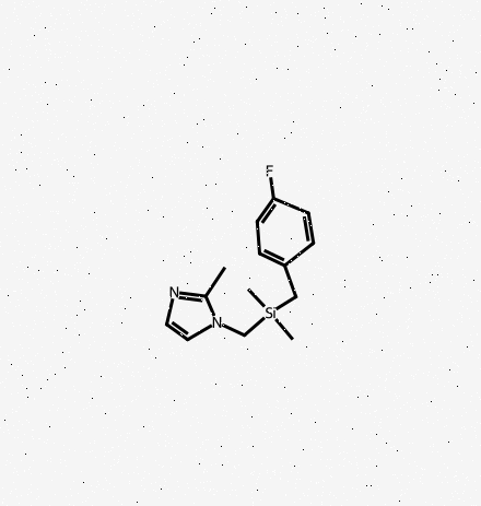 Cc1nccn1C[Si](C)(C)Cc1ccc(F)cc1